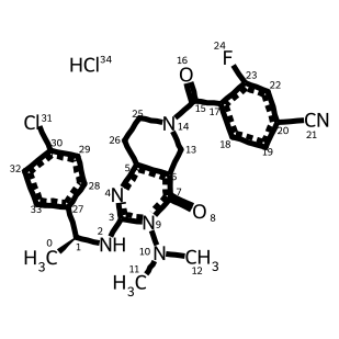 C[C@H](Nc1nc2c(c(=O)n1N(C)C)CN(C(=O)c1ccc(C#N)cc1F)CC2)c1ccc(Cl)cc1.Cl